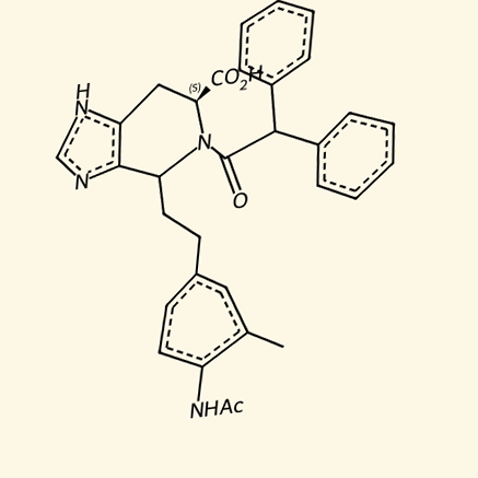 CC(=O)Nc1ccc(CCC2c3nc[nH]c3C[C@@H](C(=O)O)N2C(=O)C(c2ccccc2)c2ccccc2)cc1C